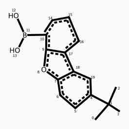 CC(C)(C)c1ccc2oc3c(B(O)O)cccc3c2c1